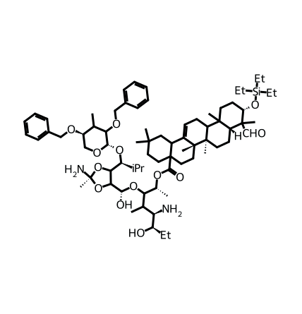 CC[C@@H](O)[C@H](N)C(C)C(O[C@H](O)C1O[C@@](C)(N)OC1[C@@H](O[C@@H]1OC[C@@H](OCc2ccccc2)C(C)C1OCc1ccccc1)C(C)C)[C@@H](C)OC(=O)C12CCC(C)(C)CC1C1=CCC3C4(C)CC[C@H](O[Si](CC)(CC)CC)C(C)(C=O)[C@@H]4CC[C@@]3(C)[C@]1(C)CC2